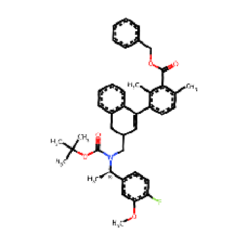 COc1cc([C@@H](C)N(CC2C=C(c3ccc(C)c(C(=O)OCc4ccccc4)c3C)c3ccccc3C2)C(=O)OC(C)(C)C)ccc1F